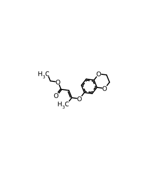 CCOC(=O)C=C(C)Oc1ccc2c(c1)OCCO2